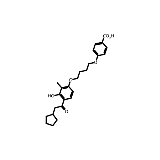 Cc1c(OCCCCOc2ccc(C(=O)O)cc2)ccc(C(=O)CC2CCCC2)c1O